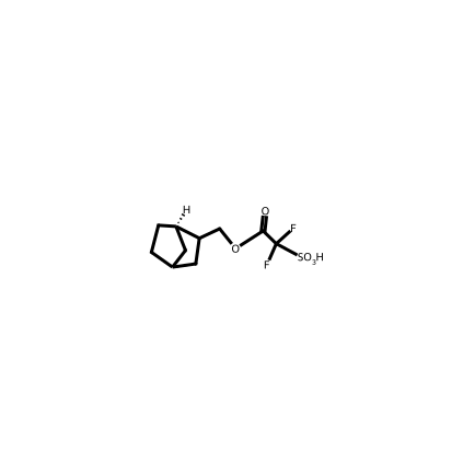 O=C(OCC1CC2CC[C@@H]1C2)C(F)(F)S(=O)(=O)O